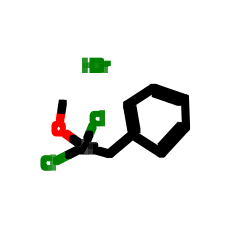 Br.C[O][Zn]([Cl])([Cl])[CH2]c1ccccc1